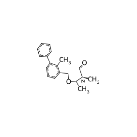 Cc1c(COC(C)[C@H](C)C=O)cccc1-c1ccccc1